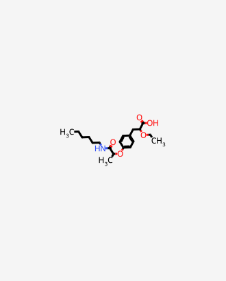 CCCCCCNC(=O)C(C)Oc1ccc(CC(OCC)C(=O)O)cc1